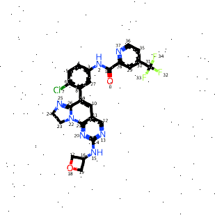 O=C(Nc1ccc(Cl)c(C2=Cc3cnc(NC4COC4)nc3N3CCN=C23)c1)c1cc(C(F)(F)F)ccn1